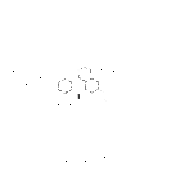 NOc1cc2c3c(nccc3c1)-c1ccccc1C2=O